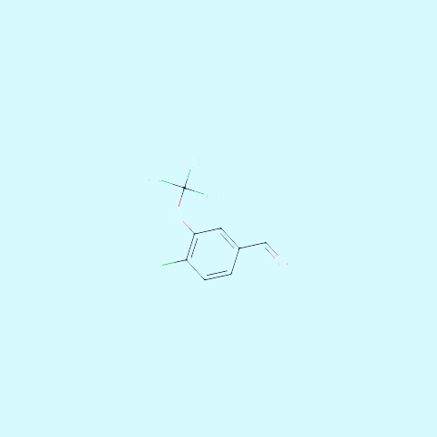 O=[C]c1ccc(Cl)c(OC(Cl)(Cl)Cl)c1